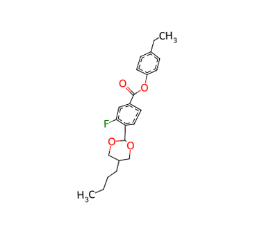 CCCCC1COC(c2ccc(C(=O)Oc3ccc(CC)cc3)cc2F)OC1